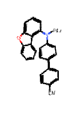 CC(C)(C)N(c1ccc(-c2ccc(C#N)cc2)cc1)c1cccc2oc3ccccc3c12